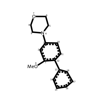 COc1cc(N2CCOCC2)ccc1-c1ccccc1